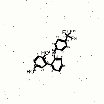 Oc1ccc(O)c(-c2ccccc2Oc2ccc(C(F)(F)F)cc2)c1